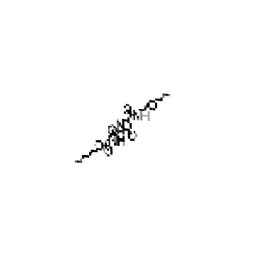 CCC=CCCOC(=O)CNC(=O)Oc1ncc(C(=O)NCCCOCCCC)cc1OC